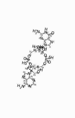 Nc1nc2c(ncn2[C@@H]2O[C@@H]3COP(=O)(S)O[C@@H]4[C@@H](COP(=O)(S)O[C@@H]2[C@@H]3O)OC[C@]4(F)n2cnc3c(N)ncnc32)c(=O)[nH]1